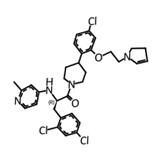 Cc1cc(N[C@H](Cc2ccc(Cl)cc2Cl)C(=O)N2CCC(c3ccc(Cl)cc3OCCN3C=CCC3)CC2)ccn1